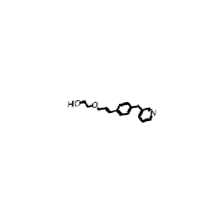 OCCOC/C=C/c1ccc(Cc2cccnc2)cc1